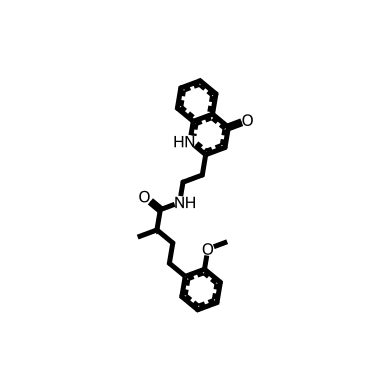 COc1ccccc1CC[C](C)C(=O)NCCc1cc(=O)c2ccccc2[nH]1